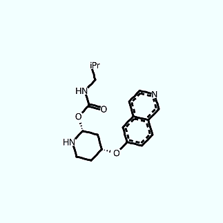 CC(C)CNC(=O)O[C@@H]1C[C@H](Oc2ccc3cnccc3c2)CCN1